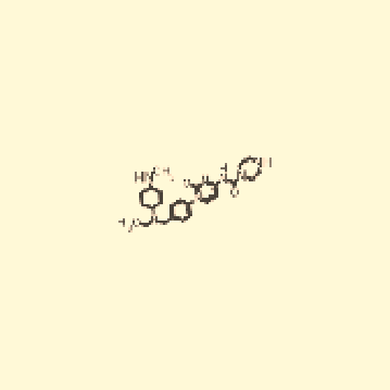 CCN(Cc1ccc(-n2ccc(NC(=O)N3CCNCC3)nc2=O)cc1)C1CCC(NC)CC1